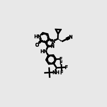 CC(C)(C)N[C@@H](c1ccc(Nc2nn([C@@H](CC#N)C3CC3)c3cc[nH]c(=O)c23)cc1F)C(F)(F)F